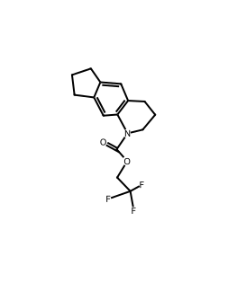 O=C(OCC(F)(F)F)N1CCCc2cc3c(cc21)CCC3